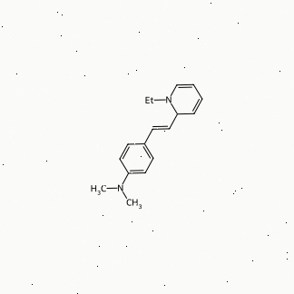 CCN1C=CC=CC1C=Cc1ccc(N(C)C)cc1